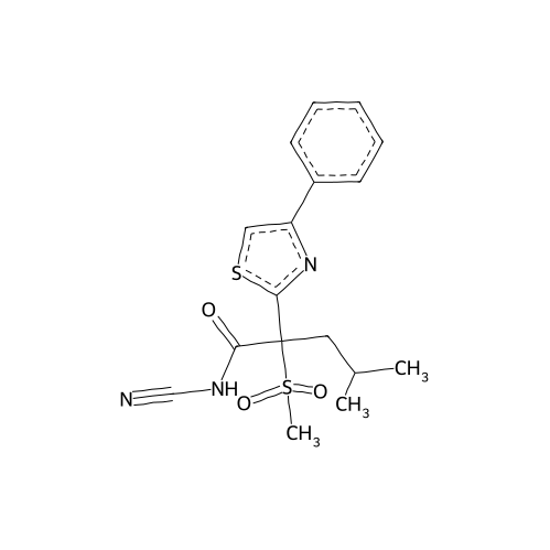 CC(C)CC(C(=O)NC#N)(c1nc(-c2ccccc2)cs1)S(C)(=O)=O